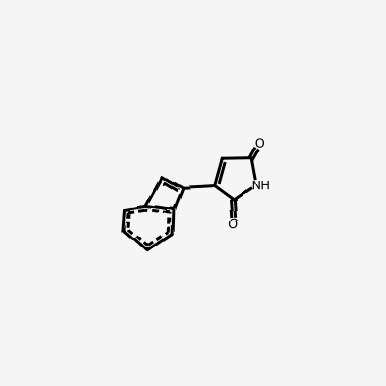 O=C1C=C(C2=Cc3ccccc32)C(=O)N1